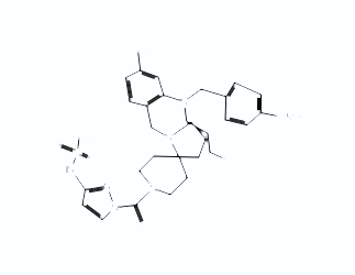 COc1ccc(CN(CCCC(=O)O)c2cc(C(F)(F)F)ccc2CN2CCCC23CCN(C(=O)n2ccc(NS(C)(=O)=O)n2)CC3)cc1